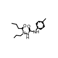 CCCC(=O)N(CCC)NC(=O)Nc1ccc(C)cc1